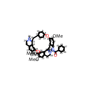 COc1cc2c3cc1Oc1ccc(cc1)CC1c4cc(c(OC)cc4CCN1C)Oc1c(OC)c(OC)cc4c1[C@H](C3)N(CC4)N2C(=O)c1ccccc1